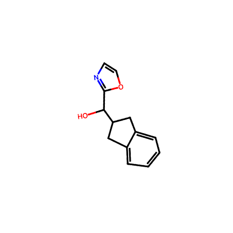 OC(c1ncco1)C1Cc2ccccc2C1